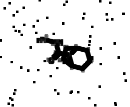 CCCNC(=O)N1C2CCCC1CC2